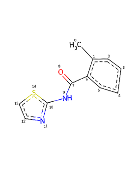 Cc1ccccc1C(=O)Nc1nccs1